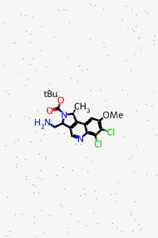 COc1cc2c3c(cnc2c(Cl)c1Cl)C(CN)N(C(=O)OC(C)(C)C)[C@H]3C